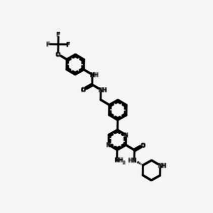 Nc1ncc(-c2cccc(CNC(=O)Nc3ccc(OC(F)(F)F)cc3)c2)nc1C(=O)N[C@H]1CCCNC1